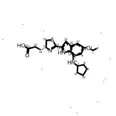 CCOc1cc(NC2CCCC2)c2[nH]c(C3=N[C@H](CCC(=O)O)CS3)cc2c1